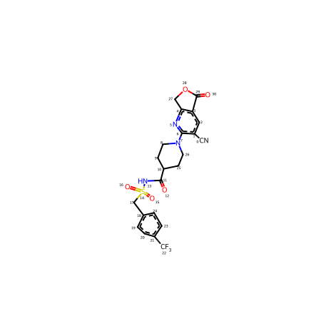 N#Cc1cc2c(nc1N1CCC(C(=O)NS(=O)(=O)Cc3ccc(C(F)(F)F)cc3)CC1)COC2=O